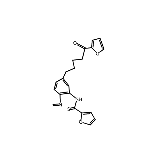 C=Nc1ccc(CCCCC(=O)c2ccco2)cc1NC(=S)c1ccco1